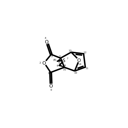 O=C1OC(=O)[C@@]23CSC[C@@]12c1ccc3o1